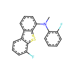 CN(c1ccccc1F)c1cccc2c1sc1c(F)cccc12